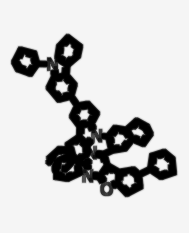 c1ccc(-c2ccc3oc4nc(-c5ccccc5)nc(-c5cc6ccccc6cc5-n5c6ccc(-c7ccc8c(c7)c7ccccc7n8-c7ccccc7)cc6c6cc7ccccc7cc65)c4c3c2)cc1